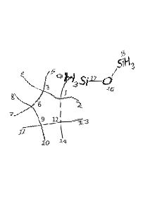 CC1(C)C(C)(C)C(C)(C)C(C)(C)C1(C)C.[SiH3]O[SiH3]